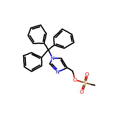 CS(=O)(=O)OCc1cn(C(c2ccccc2)(c2ccccc2)c2ccccc2)cn1